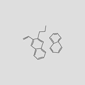 C=Cc1cc2ccccc2cc1CCC.c1ccc2ccccc2c1